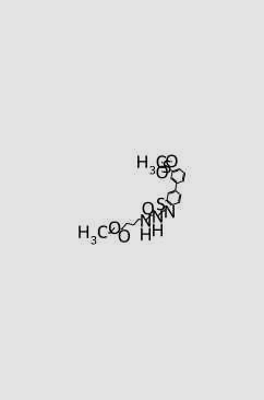 CCOC(=O)CCCNC(=O)Nc1nc2ccc(-c3cccc(S(C)(=O)=O)c3)cc2s1